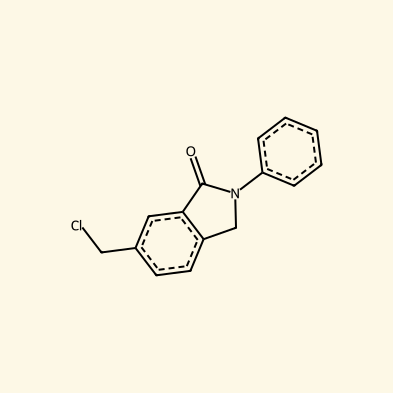 O=C1c2cc(CCl)ccc2CN1c1ccccc1